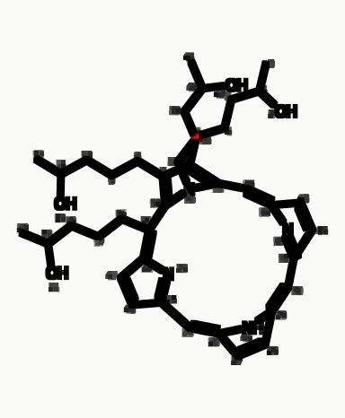 CC(O)CCCc1c(CCCC(C)O)c2c(CCCC(C)O)c3nc(cc4ccc(cc5nc(cc1n2CCCC(C)O)C=C5)[nH]4)C=C3